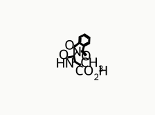 C[C@@H](C(=O)O)[C@H]1NC(=O)[C@H]1N1C(=O)c2ccccc2C1=O